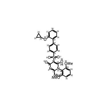 CCCCc1nc(=O)c(S(=O)(=O)c2ccc(-c3ccccc3OC3CC3)cc2)c(O)n1-c1c(OC)cccc1OC